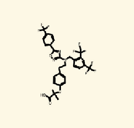 CC(C)(Oc1ccc(CCN(Cc2ccc(C(F)(F)F)cc2C(F)(F)F)c2noc(-c3ccc(C(F)(F)F)cc3)n2)cc1)C(=O)O